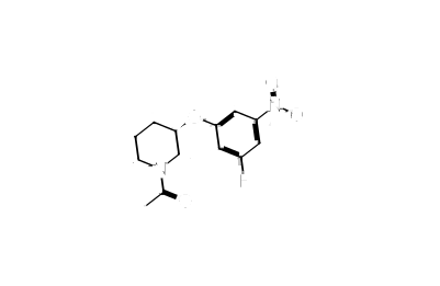 CC(=O)N1CCC[C@@H](Oc2cc(F)cc([N+](=O)[O-])c2)C1